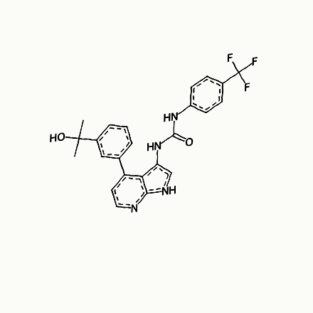 CC(C)(O)c1cccc(-c2ccnc3[nH]cc(NC(=O)Nc4ccc(C(F)(F)F)cc4)c23)c1